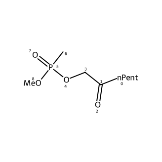 CCCCCC(=O)COP(C)(=O)OC